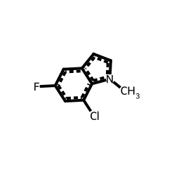 Cn1ccc2cc(F)cc(Cl)c21